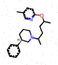 Cc1ccc(OC(C)CCC(C)N2CCC[C@H](c3ccccc3)C2)nc1